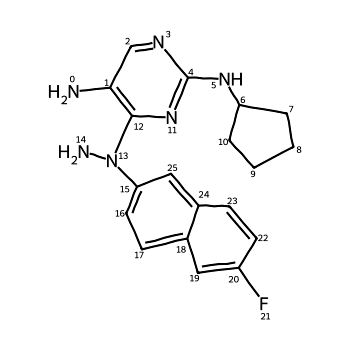 Nc1cnc(NC2CCCC2)nc1N(N)c1ccc2cc(F)ccc2c1